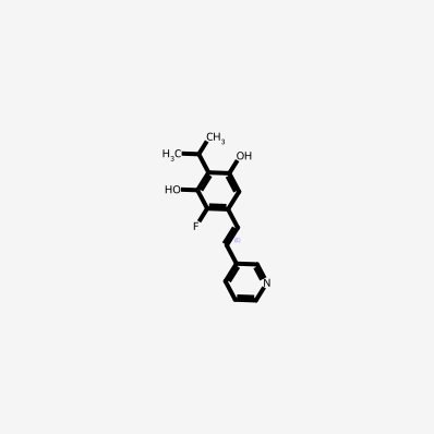 CC(C)c1c(O)cc(/C=C/c2cccnc2)c(F)c1O